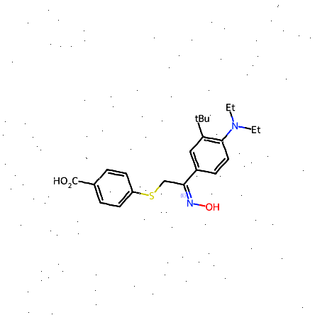 CCN(CC)c1ccc(/C(CSc2ccc(C(=O)O)cc2)=N\O)cc1C(C)(C)C